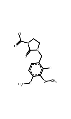 COc1ccc(CN2CCN(C(=O)Cl)C2=O)c(Cl)c1OC